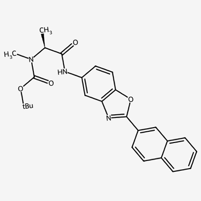 C[C@@H](C(=O)Nc1ccc2oc(-c3ccc4ccccc4c3)nc2c1)N(C)C(=O)OC(C)(C)C